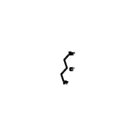 CC(C)CC[CH2][Zn+].[Cl-]